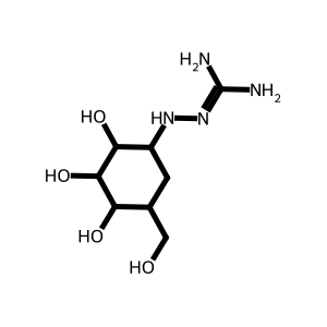 NC(N)=NNC1CC(CO)C(O)C(O)C1O